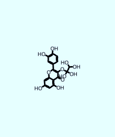 O=c1c(OC(O)(O)C(O)O)c(-c2ccc(O)c(O)c2)oc2cc(O)cc(O)c12